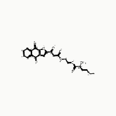 CSCC[C@H](N)C(=O)OCCOC(=O)CC(=O)c1cc2c(o1)C(=O)c1ccccc1C2=O